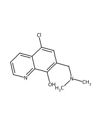 CN(C)Cc1cc(Cl)c2cccnc2c1O